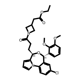 CCOC(=O)CC1CN(C(=O)CC[C@H]2O[C@H](c3cccc(OC)c3OC)c3cc(Cl)ccc3-n3cccc32)C1